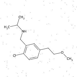 COCCc1ccc(Cl)c(CNC(C)C)c1